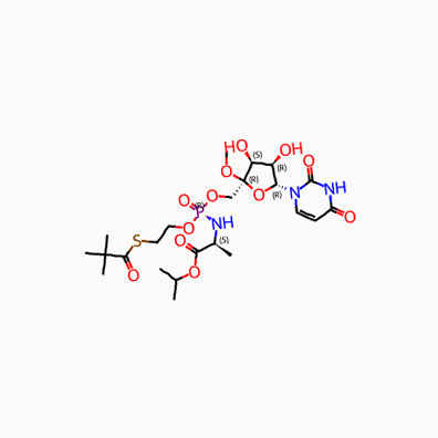 CO[C@]1(CO[P@](=O)(N[C@@H](C)C(=O)OC(C)C)OCCSC(=O)C(C)(C)C)O[C@@H](n2ccc(=O)[nH]c2=O)[C@H](O)[C@@H]1O